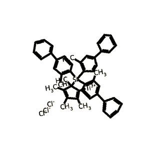 CC1=C(C)C(C)([Si](c2ccc(-c3ccccc3)cc2C)(c2ccc(-c3ccccc3)cc2C)c2ccc(-c3ccccc3)cc2C)[C]([Ti+3])=C1C.[Cl-].[Cl-].[Cl-]